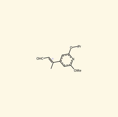 COc1cc(/C(C)=C/C=O)cc(OC(C)C)n1